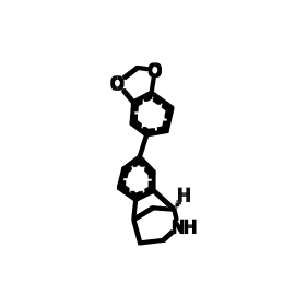 c1cc2c(cc1-c1ccc3c(c1)[C@@H]1CC3CCN1)OCO2